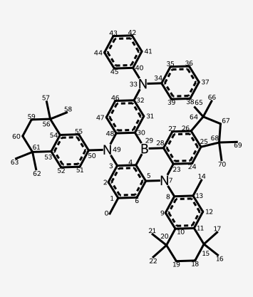 Cc1cc2c3c(c1)N(c1cc4c(cc1C)C(C)(C)CCC4(C)C)c1cc4c(cc1B3c1cc(N(c3ccccc3)c3ccccc3)ccc1N2c1ccc2c(c1)C(C)(C)CCC2(C)C)C(C)(C)CC4(C)C